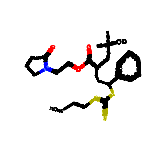 CCCCCCCCCCCCSC(=S)SC(CC(CC(C)(C)C=O)C(=O)OCCN1CCCC1=O)c1ccccc1